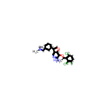 C[C@@H](Oc1c(N)ncc2c(-c3cccc(CN(C)C)c3)coc12)c1c(Cl)ccc(F)c1Cl